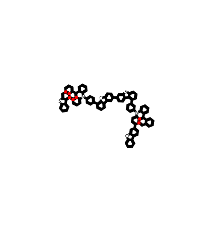 c1cc(-c2cccc3sc4ccccc4c23)cc(N(c2ccc(-c3cccc4c3oc3ccc(-c5ccc6c(c5)sc5cccc(-c7cccc(N(c8ccc(-c9ccc%10c(c9)oc9ccccc9%10)cc8)c8ccccc8-c8cccc9ccccc89)c7)c56)cc34)cc2)c2ccccc2-c2cccc3ccccc23)c1